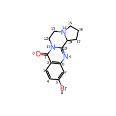 O=c1c2ccc(Br)cc2nc2n1CCN1CCCC21